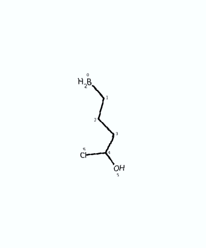 BCCCC(O)Cl